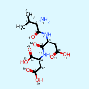 CC(C)[C@H](N)C(=O)N[C@@H](CC(=O)O)C(=O)N[C@@H](CC(=O)O)C(=O)O